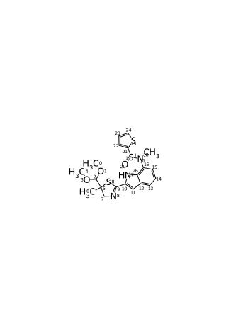 COC(OC)C1(C)CN=C(c2cc3cccc(N(C)[S+]([O-])c4cccs4)c3[nH]2)S1